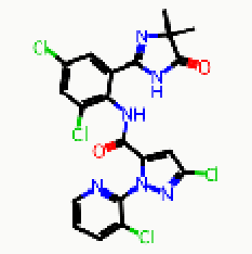 CC1(C)N=C(c2cc(Cl)cc(Cl)c2NC(=O)c2cc(Cl)nn2-c2ncccc2Cl)NC1=O